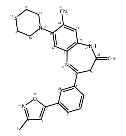 Cc1cc(-c2cccc(C3=Nc4cc(N5CCSCC5)c(C#N)cc4NC(=O)C3)c2)on1